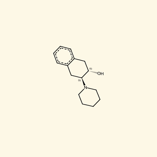 O[C@H]1Cc2ccccc2C[C@@H]1N1CCCCC1